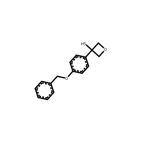 SC1(c2ccc(OCc3ccccc3)cc2)COC1